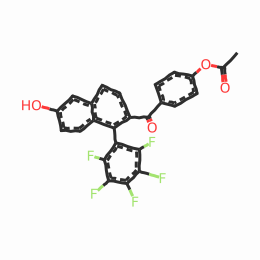 CC(=O)Oc1ccc(C(=O)c2ccc3cc(O)ccc3c2-c2c(F)c(F)c(F)c(F)c2F)cc1